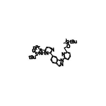 CCC[C@@H](N[S+]([O-])C(C)(C)C)c1ccnc(-c2ccc3cnn(-c4cccc(CO[Si](C)(C)C(C)(C)C)n4)c3c2)n1